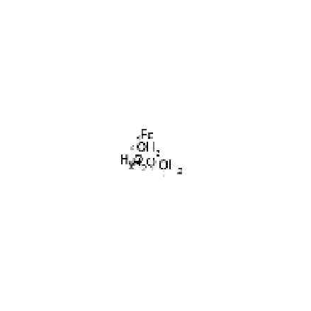 O.O.O.O.[Fe]